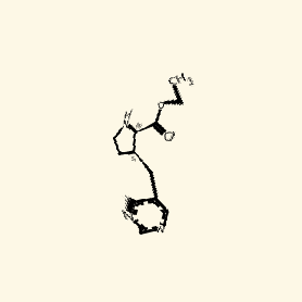 CCOC(=O)[C@@H]1NCC[C@@H]1Cc1cncnc1